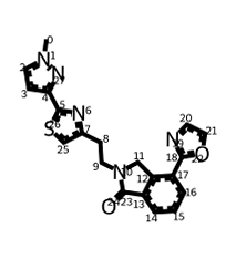 Cn1ccc(-c2nc(CCN3Cc4c(cccc4-c4ncco4)C3=O)cs2)n1